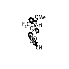 COC[C@@H](NC(=O)[C@H]1CCCN1C(=O)[C@H]1CCCN(S(=O)(=O)N2CC(C#N)C2)C1)c1cccc(C(F)(F)F)c1